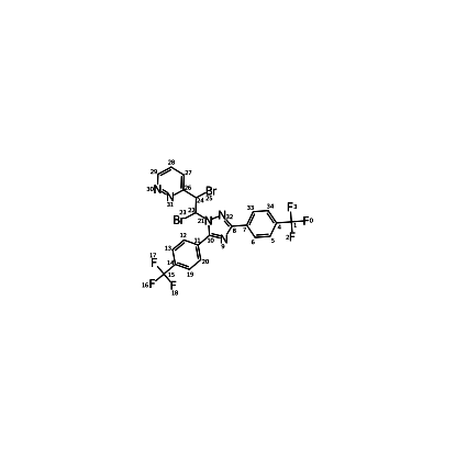 FC(F)(F)c1ccc(-c2nc(-c3ccc(C(F)(F)F)cc3)n(C(Br)C(Br)c3cccnn3)n2)cc1